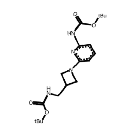 CC(C)(C)OC(=O)NCC1CN(c2cccc(NC(=O)OC(C)(C)C)n2)C1